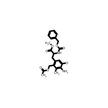 COC(=O)C(Cc1cc(Cl)c(N)c(C)c1COC(C)=O)NC(=O)OCc1ccccc1